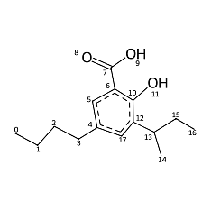 CCCCc1cc(C(=O)O)c(O)c(C(C)CC)c1